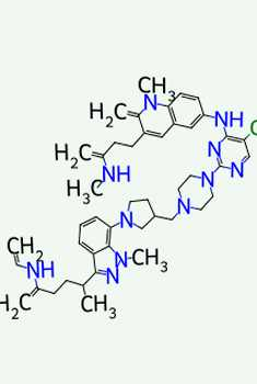 C=CNC(=C)CCC(C)c1nn(C)c2c(N3CCC(CN4CCN(c5ncc(Cl)c(Nc6ccc7c(c6)C=C(CCC(=C)NC)C(=C)N7C)n5)CC4)C3)cccc12